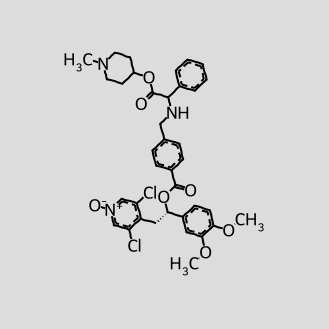 COc1ccc([C@H](Cc2c(Cl)c[n+]([O-])cc2Cl)OC(=O)c2ccc(CNC(C(=O)OC3CCN(C)CC3)c3ccccc3)cc2)cc1OC